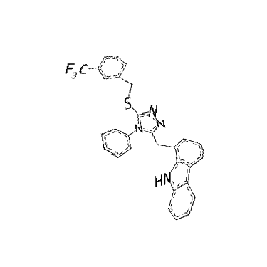 FC(F)(F)c1cccc(CSc2nnc(Cc3cccc4c3[nH]c3ccccc34)n2-c2ccccc2)c1